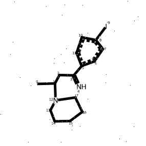 CC(CC(=N)c1ccc(I)cc1)N1CCCCC1